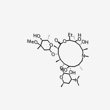 CCC1OC(=O)[C@H](C)[C@@H](O[C@H]2C[C@@](C)(OC)[C@@H](O)[C@H](C)O2)[C@H](C)[C@@H](O[C@@H]2O[C@H](C)C[C@H](N(C)C)[C@H]2O)[C@](C)(O)C[C@@H](C)CN(C)[C@H](C)[C@@H](O)[C@]1(C)O